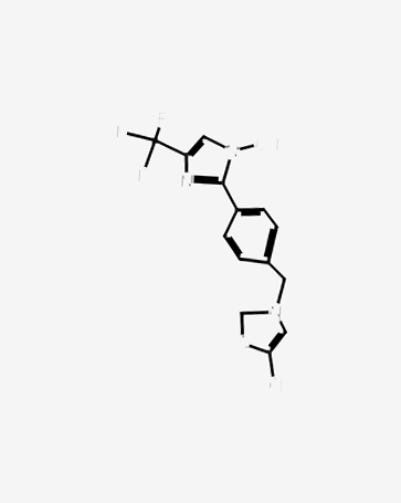 Cn1cc(C(F)(F)F)nc1-c1ccc(CN2C=C(Cl)SC2)cc1